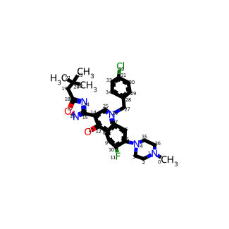 CN1CCN(c2cc3c(cc2F)c(=O)c(-c2noc(CC(C)(C)C)n2)cn3Cc2ccc(Cl)cc2)CC1